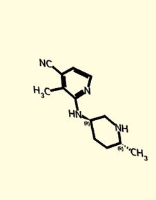 Cc1c(C#N)ccnc1N[C@@H]1CC[C@@H](C)NC1